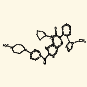 CN1CCN(c2ccc(Nc3ncc4cc(-c5ccccc5-c5nccn5C)c(=O)n(C5CCCC5)c4n3)cc2)CC1